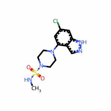 CNS(=O)(=O)N1CCN(c2cc(Cl)cc3[nH]ncc23)CC1